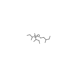 CCC(C)CCO[Si](C)(C(C)CC)C(C)CC